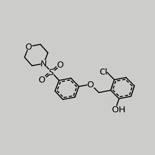 O=S(=O)(c1cccc(OCc2c(O)cccc2Cl)c1)N1CCOCC1